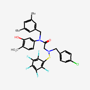 CC(C)(C)c1cc(CN(C(=O)CN(Cc2ccc(Cl)cc2)Sc2c(F)c(F)c(F)c(F)c2F)c2ccc(C(=O)O)c(O)c2)cc(C(C)(C)C)c1